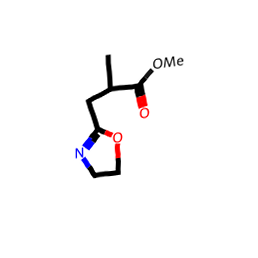 COC(=O)C(C)CC1=NCCO1